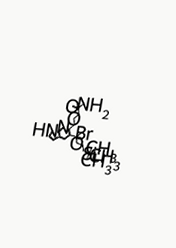 C[Si](C)(C)CCOC(Br)c1cc2cc[nH]c2nc1COCC(N)=O